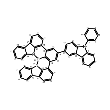 c1ccc(-n2c3ccccc3c3cc(-c4cc5c6c(c4)-c4cccc7c8ccccc8n(c47)B6n4c6ccccc6c6cccc-5c64)ccc32)cc1